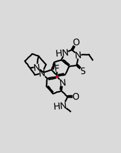 CCn1c(=O)[nH]c2cc(CN3C4CCC3CN(c3ccc(C(=O)NC)nc3F)C4)ccc2c1=S